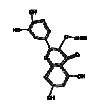 CCCCCCOc1c(-c2ccc(O)c(O)c2)oc2cc(O)cc(O)c2c1=O